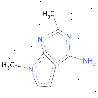 Cc1nc(N)c2ccn(C)c2n1